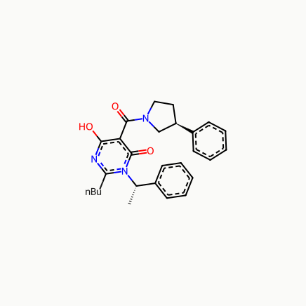 CCCCc1nc(O)c(C(=O)N2CC[C@@H](c3ccccc3)C2)c(=O)n1[C@@H](C)c1ccccc1